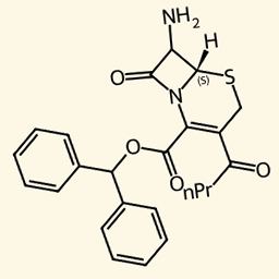 CCCC(=O)C1=C(C(=O)OC(c2ccccc2)c2ccccc2)N2C(=O)C(N)[C@@H]2SC1